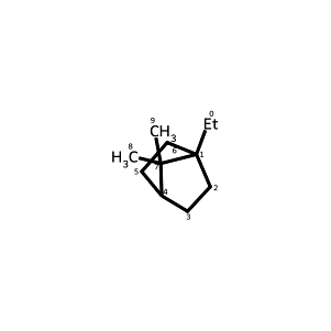 [CH2]CC12CCC(CC1)C2(C)C